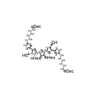 C#Cc1cc(-c2sc(-c3cc(C#C)c(-c4ccc(CCCCCCCCCCCCCCCC)s4)s3)c(CCCCCC)c2CCCCCC)sc1-c1ccc(CCCCCCCCCCCCCCCC)s1